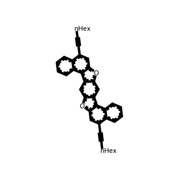 CCCCCCC#Cc1cc2oc3cc4c(cc3c2c2ccccc12)oc1cc(C#CCCCCCC)c2ccccc2c14